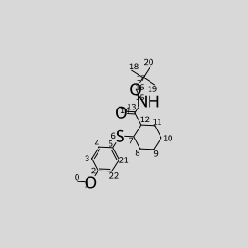 COc1ccc(SC2CCCCC2C(=O)NOC(C)(C)C)cc1